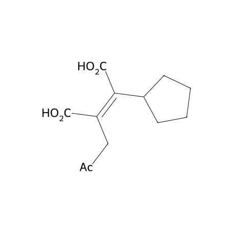 CC(=O)CC(C(=O)O)=C(C(=O)O)C1CCCC1